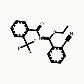 CCOC(=NC(=O)c1ccccc1C(F)(F)F)c1ccccc1C#N